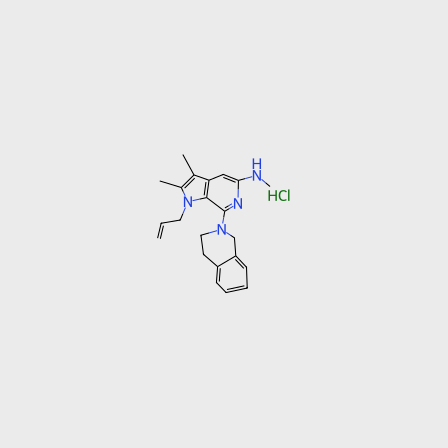 C=CCn1c(C)c(C)c2cc(NC)nc(N3CCc4ccccc4C3)c21.Cl